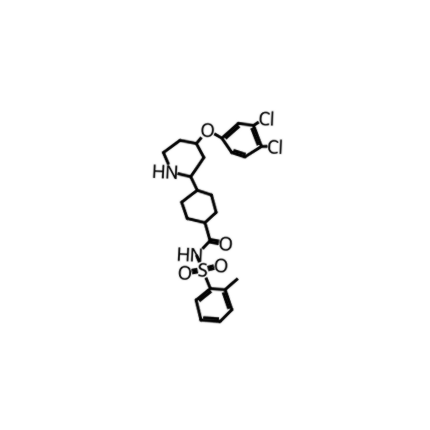 Cc1ccccc1S(=O)(=O)NC(=O)C1CCC(C2CC(Oc3ccc(Cl)c(Cl)c3)CCN2)CC1